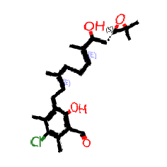 C/C(=C\Cc1c(C)c(Cl)c(C)c(C=O)c1O)CC/C=C(\C)C(O)C[C@@H]1OC1(C)C